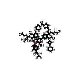 CNC(=O)C(CCC=O)N1C(=O)c2cccc(NC3CCN(C(=O)N4CCC(CCC(C)(CCNC=O)c5ccc(-c6cc7ncn(C(C)C)c7c(Nc7cc(C(=O)NC(C)C)c(C)cc7F)n6)cc5N(C=O)C5CC(N6CCCCC6)C5)C4)CC3)c2C1=O